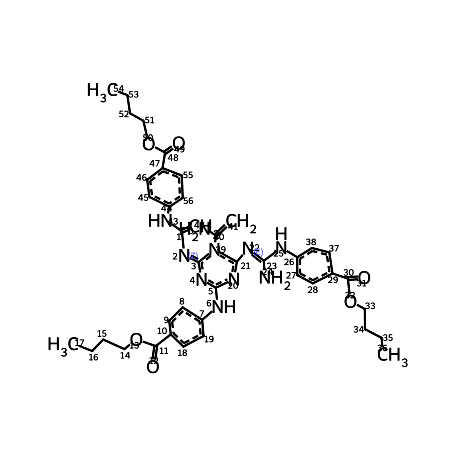 C=C(/N=c1/nc(Nc2ccc(C(=O)OCCCC)cc2)nc(/N=C(\N)Nc2ccc(C(=O)OCCCC)cc2)n1C(=C)N)Nc1ccc(C(=O)OCCCC)cc1